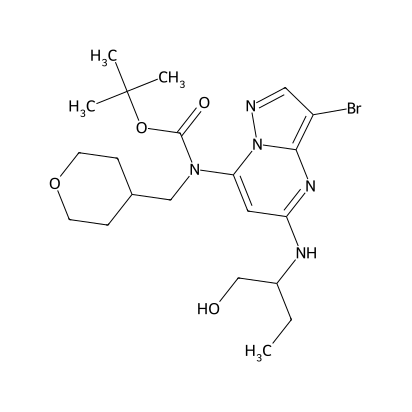 CCC(CO)Nc1cc(N(CC2CCOCC2)C(=O)OC(C)(C)C)n2ncc(Br)c2n1